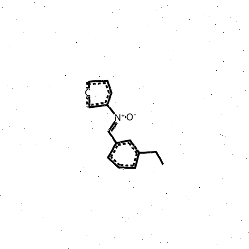 CCc1cccc(C=[N+]([O-])c2ccccc2)c1